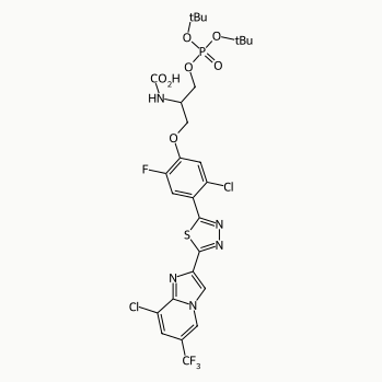 CC(C)(C)OP(=O)(OCC(COc1cc(Cl)c(-c2nnc(-c3cn4cc(C(F)(F)F)cc(Cl)c4n3)s2)cc1F)NC(=O)O)OC(C)(C)C